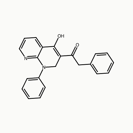 O=C(Cc1ccccc1)C1=C(O)c2cccnc2N(c2ccccc2)C1